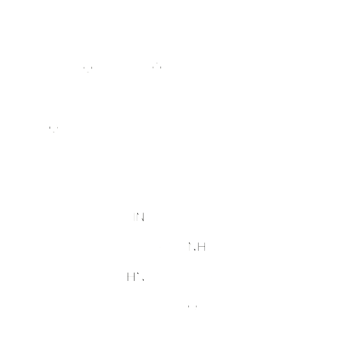 COc1cc(CNC(=N)NC(=O)c2ccccc2)cc(OC)c1OC